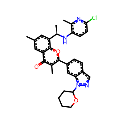 Cc1cc([C@@H](C)Nc2ccc(Cl)nc2C)c2oc(-c3ccc4cnn(C5CCCCO5)c4c3)c(C)c(=O)c2c1